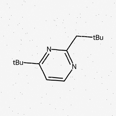 CC(C)(C)Cc1nccc(C(C)(C)C)n1